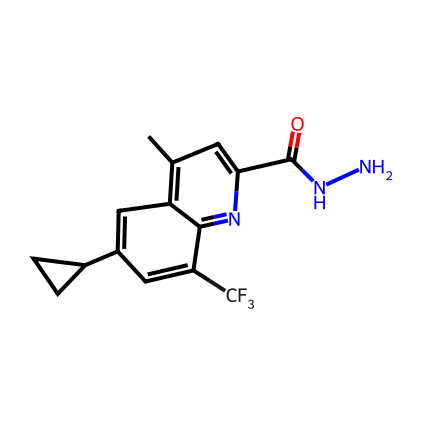 Cc1cc(C(=O)NN)nc2c(C(F)(F)F)cc(C3CC3)cc12